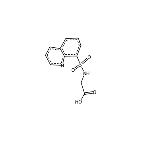 O=C(O)CNS(=O)(=O)c1cccc2cccnc12